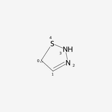 [C]1C=NNS1